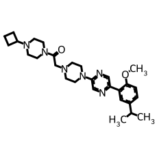 COc1ccc(C(C)C)cc1-c1cnc(N2CCN(CC(=O)N3CCN(C4CCC4)CC3)CC2)cn1